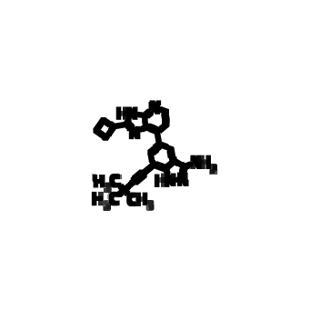 CC(C)(C)C#Cc1cc(-c2ccnc3[nH]c(C4CCC4)nc23)cc2c(N)n[nH]c12